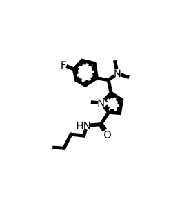 CCCCNC(=O)c1ccc(C(c2ccc(F)cc2)N(C)C)n1C